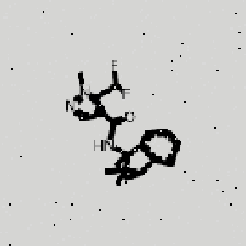 Cn1ncc(C(=O)NC23CCC(c4ccccc42)C3(C)C)c1C(F)F